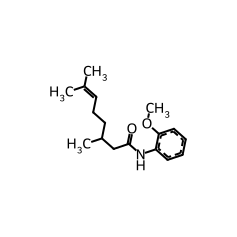 COc1ccccc1NC(=O)CC(C)CCC=C(C)C